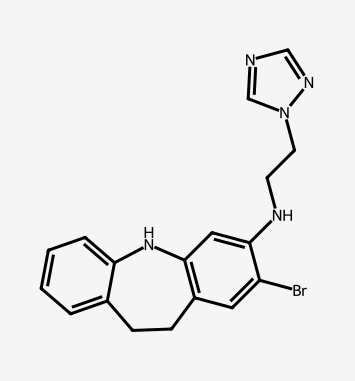 Brc1cc2c(cc1NCCn1cncn1)Nc1ccccc1CC2